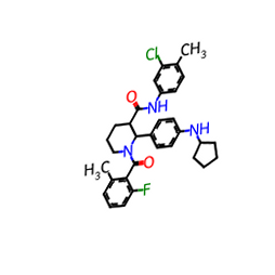 Cc1ccc(NC(=O)C2CCCN(C(=O)c3c(C)cccc3F)C2c2ccc(NC3CCCC3)cc2)cc1Cl